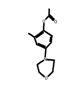 CC(=O)Oc1ccc(N2CCOCC2)cc1C